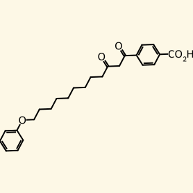 O=C(CCCCCCCCCOc1ccccc1)CC(=O)c1ccc(C(=O)O)cc1